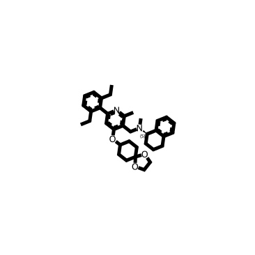 CCc1cccc(CC)c1-c1cc(OC2CCC3(CC2)OCCO3)c(CN(C)[C@H]2CCCc3ccccc32)c(C)n1